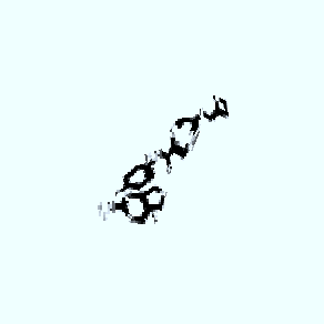 NC1=N[C@@]2(c3cc(NC(=O)c4cnc(OCC5CCO5)cn4)ccc3F)COC[C@@]2(F)CS1